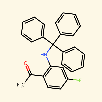 O=C(c1ccc(F)cc1NC(c1ccccc1)(c1ccccc1)c1ccccc1)C(F)(F)F